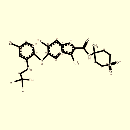 Cc1c(C(=O)NC2(C)CCS(=O)(=O)CC2)nc2cc(F)c(Oc3ncc(Cl)cc3OCC(F)(F)F)cn12